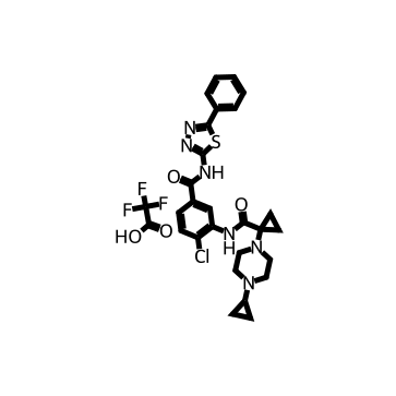 O=C(Nc1nnc(-c2ccccc2)s1)c1ccc(Cl)c(NC(=O)C2(N3CCN(C4CC4)CC3)CC2)c1.O=C(O)C(F)(F)F